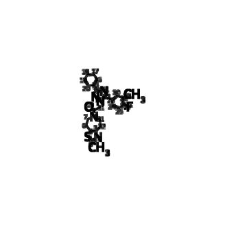 Cc1nc2c(s1)CCN(C(=O)Cn1nc(-c3ccccc3)nc1-c1ccc(F)c(C)c1)CC2